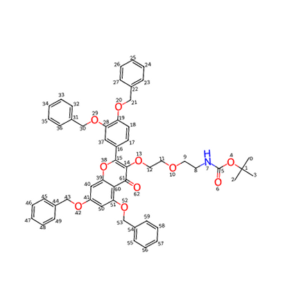 CC(C)(C)OC(=O)NCCOCCOc1c(-c2ccc(OCc3ccccc3)c(OCc3ccccc3)c2)oc2cc(OCc3ccccc3)cc(OCc3ccccc3)c2c1=O